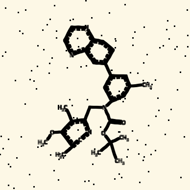 COc1c(C)cnc(CN(C(=O)OC(C)(C)C)c2cc(C)cc(-c3ccc4nccnc4c3)c2)c1C